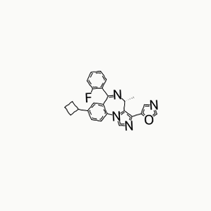 C[C@H]1N=C(c2ccccc2F)c2cc(C3CCC3)ccc2-n2cnc(-c3cnco3)c21